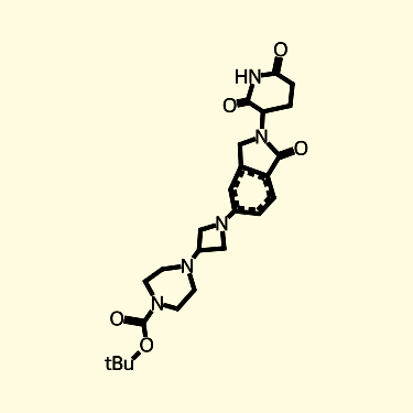 CC(C)(C)OC(=O)N1CCN(C2CN(c3ccc4c(c3)CN(C3CCC(=O)NC3=O)C4=O)C2)CC1